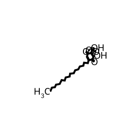 CCCCCCCCCCCCCCCCCCC1=CC(=O)C(S(=O)(=O)O)=C(O)C1=O